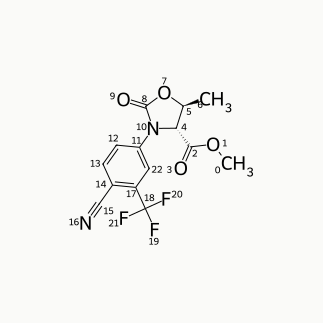 COC(=O)[C@H]1[C@H](C)OC(=O)N1c1ccc(C#N)c(C(F)(F)F)c1